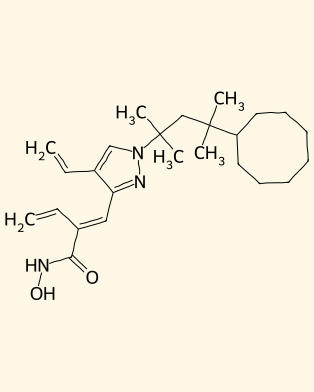 C=C/C(=C\c1nn(C(C)(C)CC(C)(C)C2CCCCCCC2)cc1C=C)C(=O)NO